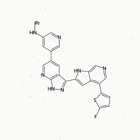 CC(C)Nc1cncc(-c2cnc3[nH]nc(-c4cc5c(-c6ccc(F)s6)cncc5[nH]4)c3c2)c1